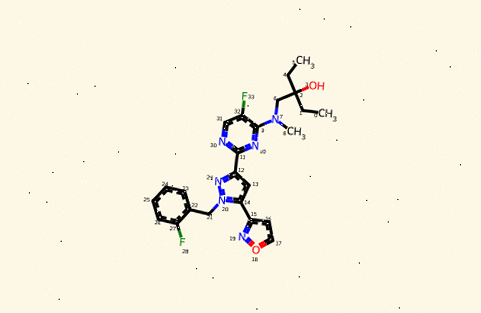 CCC(O)(CC)CN(C)c1nc(-c2cc(-c3ccon3)n(Cc3ccccc3F)n2)ncc1F